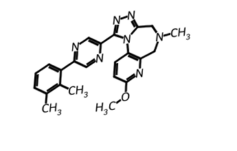 COc1ccc2c(n1)CN(C)Cc1nnc(-c3cnc(-c4cccc(C)c4C)cn3)n1-2